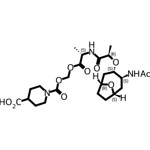 CC(=O)N[C@H]1C[C@@H]2CC[C@H](C[C@@H]1O[C@H](C)C(=O)N[C@@H](C)C(=O)OCOC(=O)N1CCC(C(=O)O)CC1)O2